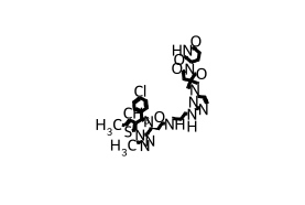 Cc1sc2c(c1C)C(c1ccc(Cl)cc1)=N[C@@H](CC(=O)NCCCNc1nccc(N3CC4(CC(=O)N(C5CCC(=O)NC5=O)C4=O)C3)n1)c1nnc(C)n1-2